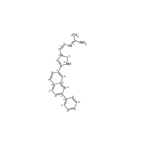 C/C(N)=N\C=C/N1C=C(c2ccc3ccc(-c4ccccc4)nc3c2)NC1